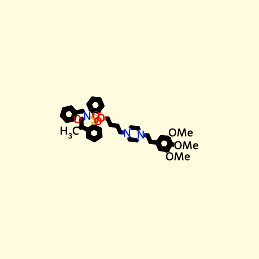 COc1cc(CCN2CCN(CCCCOc3ccccc3[N+]3(Cc4ccccc4)C(=O)C(C)c4ccccc4S3(=O)=O)CC2)cc(OC)c1OC